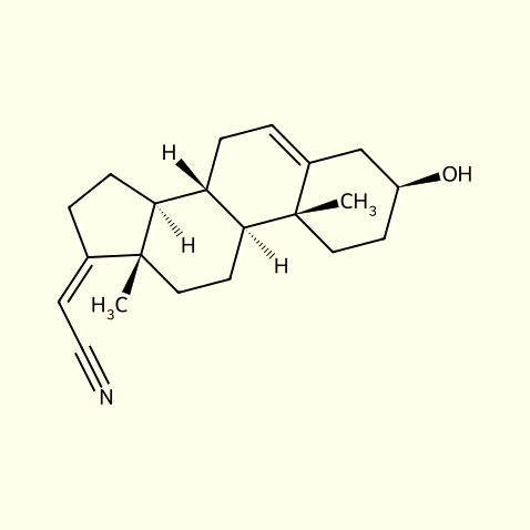 C[C@]12CC[C@H](O)CC1=CC[C@@H]1[C@@H]2CC[C@]2(C)/C(=C\C#N)CC[C@@H]12